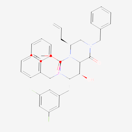 C=CC[C@H]1CN(Cc2ccccc2)C(=O)C([C@@H](O)[C@H](Cc2cc(F)cc(F)c2)N(Cc2ccccc2)Cc2ccccc2)N1C(=O)OC(C)(C)C